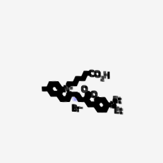 CCN(CC)c1ccc2cc(/C=C/c3ccc4cc(C)ccc4[n+]3CCCCCC(=O)O)c(=O)oc2c1.[Br-]